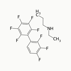 CCCNCC.Fc1ccc(-c2c(F)c(F)c(F)c(F)c2F)c(F)c1F